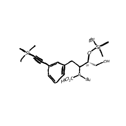 CC(C)(C)N(C(=O)O)C(Cc1cccc(C#C[Si](C)(C)C)c1)[C@@H](CO)O[Si](C)(C)C(C)(C)C